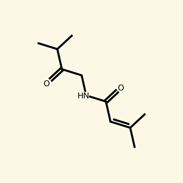 CC(C)=CC(=O)NCC(=O)C(C)C